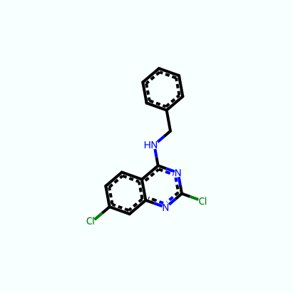 Clc1ccc2c(NCc3ccccc3)nc(Cl)nc2c1